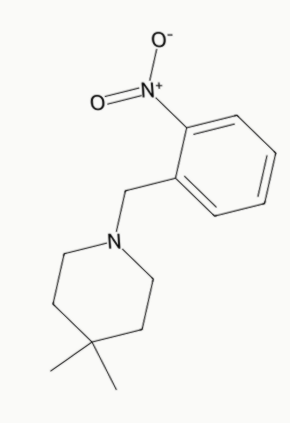 CC1(C)CCN(Cc2ccccc2[N+](=O)[O-])CC1